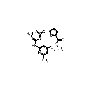 COC(=O)c1cccs1.Cc1cc(C)nc(NC(=NN)N=S(=O)=O)c1